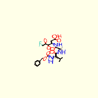 CC(C)[C@H](NC(=O)OCc1ccccc1)C(=O)N[C@@H](C)C(=O)NC(CC(=O)O)C(=O)C(=O)CF